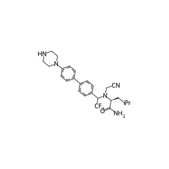 CC(C)C[C@@H](C(N)=O)N(CC#N)C(c1ccc(-c2ccc(N3CCNCC3)cc2)cc1)C(F)(F)F